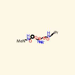 CNCCNC(=O)c1cccc(OCC(N=[N+]=[N-])OCCOCC(=O)NCC#CC(C)C)c1